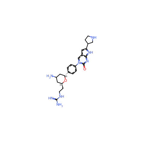 N=C(N)NCC[C@H]1CC(N)C[C@H](c2ccc(-n3cc4cc(C5CCNC5)[nH]c4nc3=O)cc2)O1